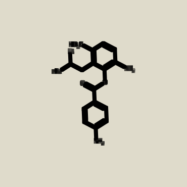 CCCCC(CC)Cc1c(C(=O)O)ccc(N)c1OC(=O)c1ccc(N)cc1